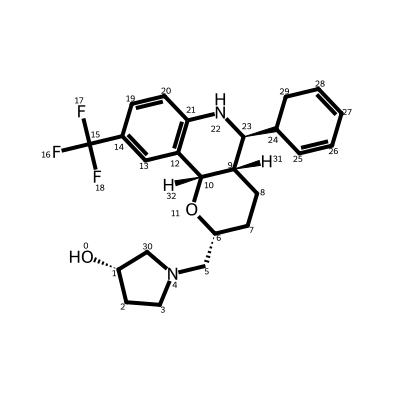 O[C@H]1CCN(C[C@H]2CC[C@@H]3[C@H](O2)c2cc(C(F)(F)F)ccc2N[C@H]3C2C=CC=CC2)C1